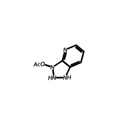 CC(=O)ON1NNc2cccnc21